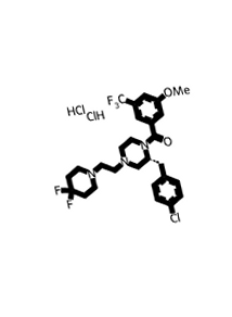 COc1cc(C(=O)N2CCN(CCN3CCC(F)(F)CC3)C[C@H]2Cc2ccc(Cl)cc2)cc(C(F)(F)F)c1.Cl.Cl